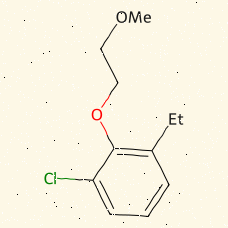 CCc1cccc(Cl)c1OCCOC